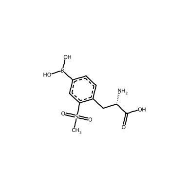 CS(=O)(=O)c1cc(B(O)O)ccc1C[C@H](N)C(=O)O